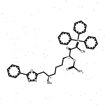 CC(C)(C)[C@H](CCCC[C@H](OC(N)=O)C(=O)C(C#N)=P(c1ccccc1)(c1ccccc1)c1ccccc1)Cc1nnc(-c2ccccc2)o1